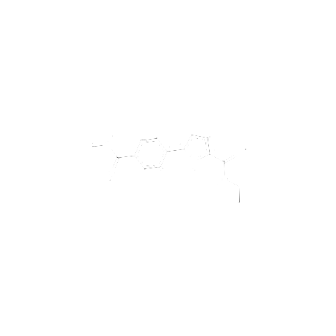 CCOC(=O)c1ccc(-c2ccc(C(=O)OC)cc2)o1